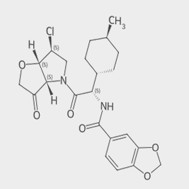 C[C@H]1CC[C@H]([C@H](NC(=O)c2ccc3c(c2)OCO3)C(=O)N2C[C@H](Cl)[C@H]3OCC(=O)[C@H]32)CC1